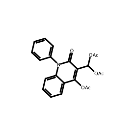 CC(=O)Oc1c(C(OC(C)=O)OC(C)=O)c(=O)n(-c2ccccc2)c2ccccc12